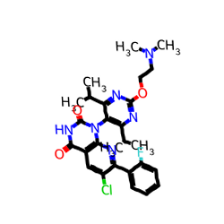 CC(C)c1nc(OCCN(C)C)nc(C(C)C)c1-n1c(=O)[nH]c(=O)c2cc(Cl)c(-c3ccccc3F)nc21